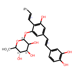 CC(C)/C=C/c1c(O)cc(/C=C/c2ccc(O)c(O)c2)cc1O[C@@H]1OC(C(=O)O)[C@@H](O)[C@H](O)C1O